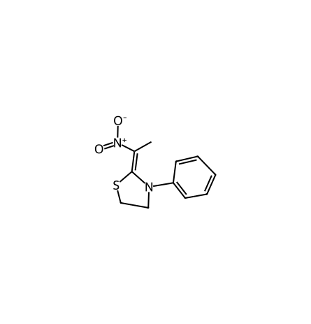 CC(=C1SCCN1c1ccccc1)[N+](=O)[O-]